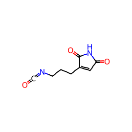 O=C=NCCCC1=CC(=O)NC1=O